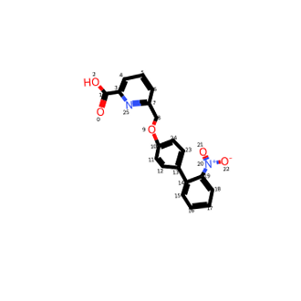 O=C(O)c1cccc(COc2ccc(-c3ccccc3[N+](=O)[O-])cc2)n1